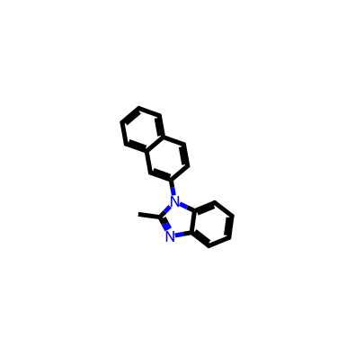 Cc1nc2ccccc2n1-c1ccc2ccccc2c1